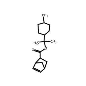 CC1CCC(C(C)(C)OC(=O)C2CC3C=CC2C3)CC1